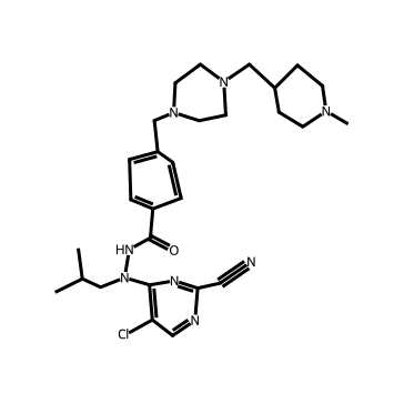 CC(C)CN(NC(=O)c1ccc(CN2CCN(CC3CCN(C)CC3)CC2)cc1)c1nc(C#N)ncc1Cl